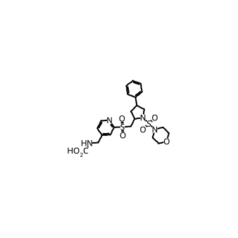 O=C(O)NCc1ccnc(S(=O)(=O)CC2CC(c3ccccc3)CN2S(=O)(=O)N2CCOCC2)c1